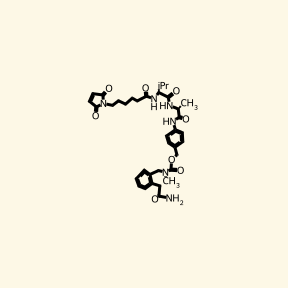 CC(C)[C@H](NC(=O)CCCCCN1C(=O)C=CC1=O)C(=O)N[C@@H](C)C(=O)Nc1ccc(COC(=O)N(C)Cc2ccccc2CC(N)=O)cc1